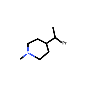 CC(C)C(C)C1CCN(C)CC1